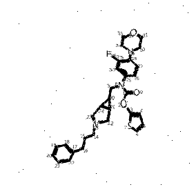 O=C(Oc1cccs1)N(CC1C2CN(CCCc3ccccc3)CC21)c1ccc(N2CCOCC2)c(F)c1